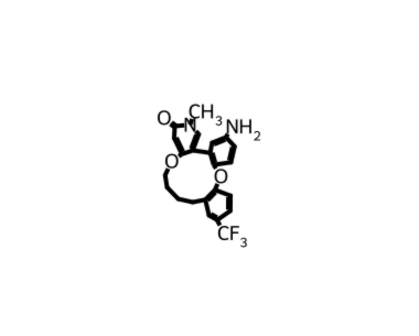 Cn1cc2c(cc1=O)OCCCCc1cc(C(F)(F)F)ccc1Oc1ccc(N)cc1-2